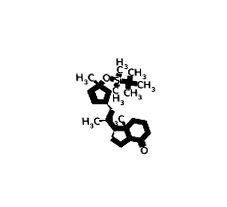 C[C@H](C[C@@H]1C=C[C@](C)(O[Si](C)(C)C(C)(C)C)C1)[C@H]1CCC2C(=O)CCC[C@]21C